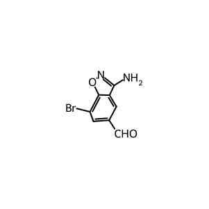 Nc1noc2c(Br)cc(C=O)cc12